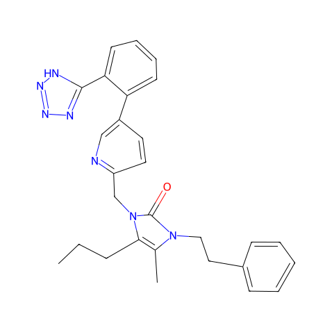 CCCc1c(C)n(CCc2ccccc2)c(=O)n1Cc1ccc(-c2ccccc2-c2nnn[nH]2)cn1